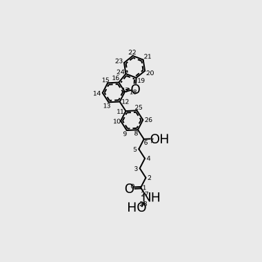 O=C(CCCCC(O)c1ccc(-c2cccc3c2oc2ccccc23)cc1)NO